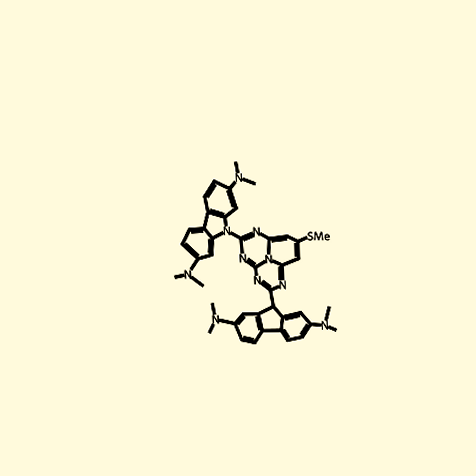 CSC1=CC2=NC(C3c4cc(N(C)C)ccc4-c4ccc(N(C)C)cc43)=NC3=NC(n4c5cc(N(C)C)ccc5c5ccc(N(C)C)cc54)=NC(=C1)N23